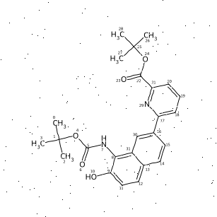 CC(C)(C)OC(=O)Nc1c(O)ccc2ccc(-c3cccc(C(=O)OC(C)(C)C)n3)cc12